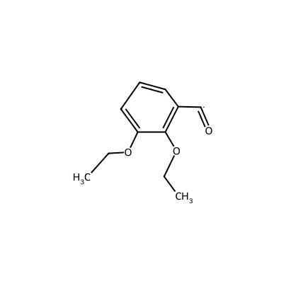 CCOc1cccc([C]=O)c1OCC